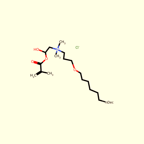 C=C(C)C(=O)OC(O)C[N+](C)(C)CCCOCCCCCCCCCCCCCCCC.[Cl-]